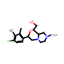 Cc1c(C(O)CN2CCN(C(=O)O)CC2CCO)ccc(F)c1C#N